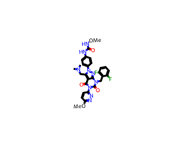 CONC(=O)Nc1ccc(-n2nc3c(c2CN(C)C)c(=O)n(-c2ccc(OC)nn2)c(=O)n3Cc2c(F)cccc2F)cc1